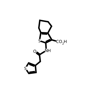 O=C(Cc1ccsc1)Nc1sc2c(c1C(=O)O)CCCC2